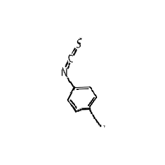 [CH2]c1ccc(N=C=S)cc1